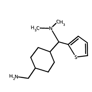 CN(C)C(c1cccs1)C1CCC(CN)CC1